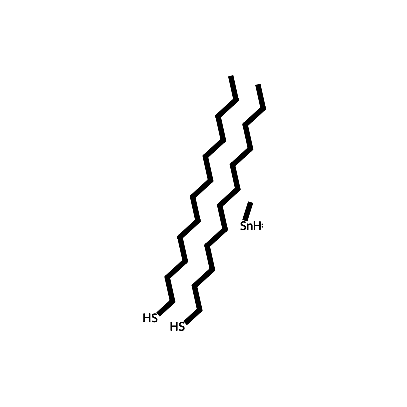 CCCCCCCCCCCCS.CCCCCCCCCCCCS.[CH3][SnH]